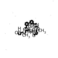 COc1nc(-c2cccc(-c3cccc(-c4cnc(CN(C)CC5CCC(=O)N5)c(OC)n4)c3Cl)c2Cl)cnc1CN(C)CC1CCC(=O)N1